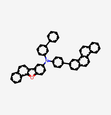 c1ccc(-c2cccc(N(c3ccc(-c4ccc5ccc6c7ccccc7ccc6c5c4)cc3)c3ccc4oc5c6ccccc6ccc5c4c3)c2)cc1